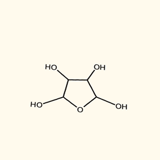 OC1OC(O)C(O)C1O